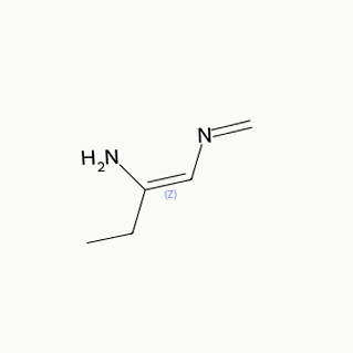 C=N/C=C(\N)CC